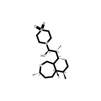 C[C@H]([C@@H]1CC[C@@H](C)[C@]2(I)CC[C@H](C)OCC12)[C@@H](O)N1CCS(=O)(=O)CC1